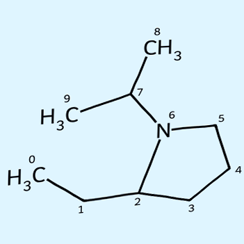 CCC1CCCN1C(C)C